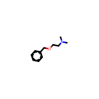 CN(C)CCOCc1c[c]ccc1